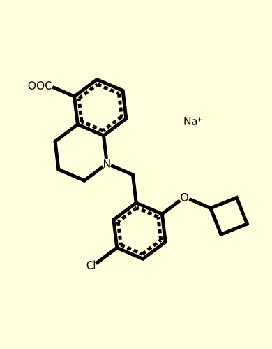 O=C([O-])c1cccc2c1CCCN2Cc1cc(Cl)ccc1OC1CCC1.[Na+]